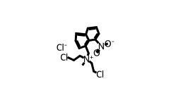 C[N+](CCCl)(CCCl)Cc1cccc2cccc([N+](=O)[O-])c12.[Cl-]